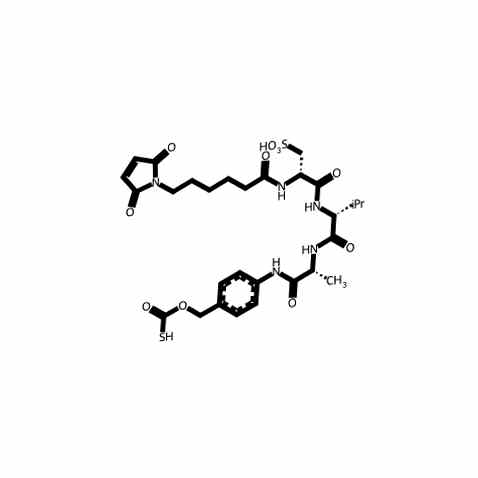 CC(C)[C@@H](NC(=O)[C@@H](CS(=O)(=O)O)NC(=O)CCCCCN1C(=O)C=CC1=O)C(=O)N[C@H](C)C(=O)Nc1ccc(COC(=O)S)cc1